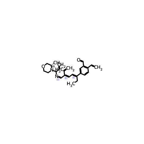 C=Cc1ccc(/C(=C/C=C(/C=N\C(C=C)N2CCOC[C@@H]2C)C(=C)C)CC)cc1C=O